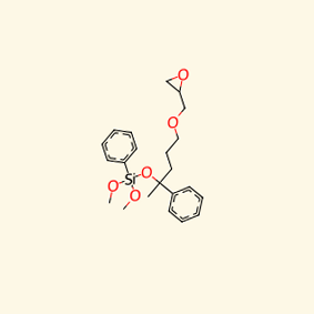 CO[Si](OC)(OC(C)(CCCOCC1CO1)c1ccccc1)c1ccccc1